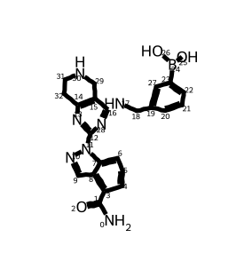 NC(=O)c1cccc2c1cnn2-c1nc2c(c(NCc3cccc(B(O)O)c3)n1)CNCC2